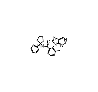 Cc1cccc(C(=O)NC2(c3ccccc3)CCCC2)c1-n1cnc2cncnc21